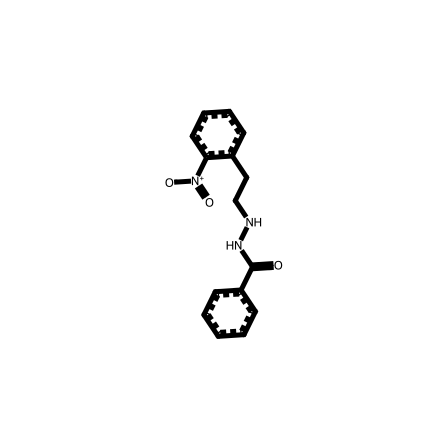 O=C(NNCCc1ccccc1[N+](=O)[O-])c1ccccc1